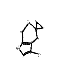 CC(C)c1c[nH]c2c1CC1(CC1)OC2